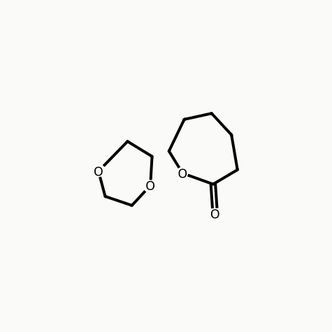 C1COCCO1.O=C1CCCCCO1